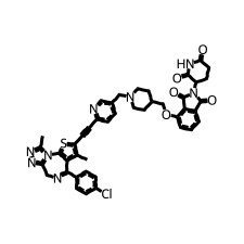 Cc1c(C#Cc2ccc(CN3CCC(COc4cccc5c4C(=O)N(C4CCC(=O)NC4=O)C5=O)CC3)cn2)sc2c1C(c1ccc(Cl)cc1)=NCc1nnc(C)n1-2